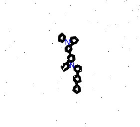 C1=CC(C2=CC=C(c3ccccc3)CC2)CC(n2c3c(c4cc(-c5ccc6c(c5)c5c(n6-c6ccccc6)C=CCC5)ccc42)C=CCC3)=C1